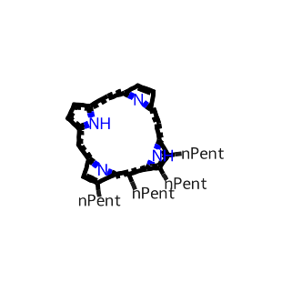 CCCCCC1=Cc2cc3ccc(cc4nc(cc5[nH]c(c(CCCCC)c1n2)c(CCCCC)c5CCCCC)C=C4)[nH]3